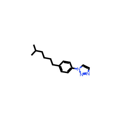 CC(C)CCCCc1ccc(-n2ccnn2)cc1